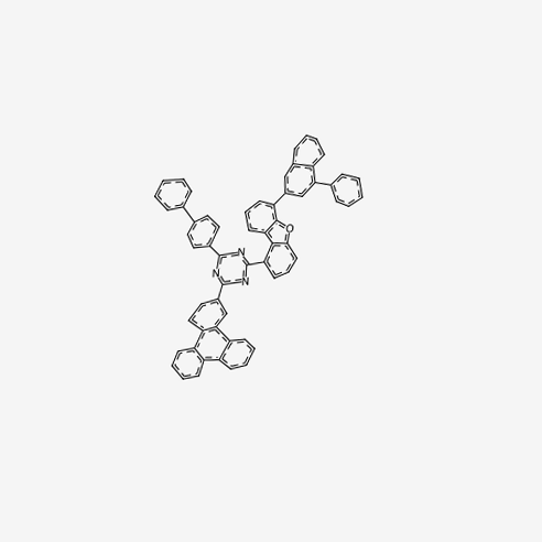 c1ccc(-c2ccc(-c3nc(-c4ccc5c6ccccc6c6ccccc6c5c4)nc(-c4cccc5oc6c(-c7cc(-c8ccccc8)c8ccccc8c7)cccc6c45)n3)cc2)cc1